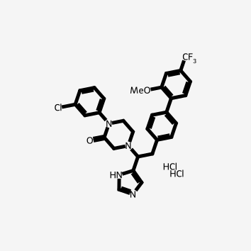 COc1cc(C(F)(F)F)ccc1-c1ccc(CC(c2cnc[nH]2)N2CCN(c3cccc(Cl)c3)C(=O)C2)cc1.Cl.Cl